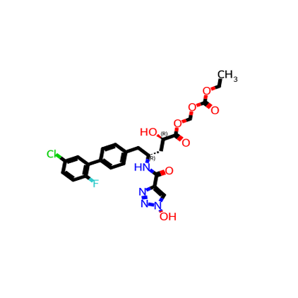 CCOC(=O)OCOC(=O)[C@H](O)C[C@@H](Cc1ccc(-c2cc(Cl)ccc2F)cc1)NC(=O)c1cn(O)nn1